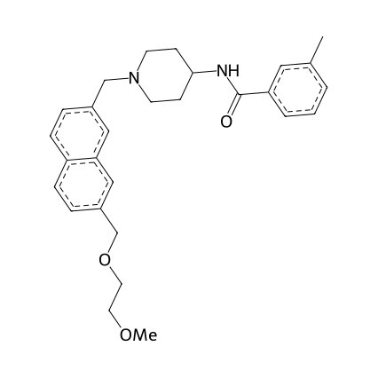 COCCOCc1ccc2ccc(CN3CCC(NC(=O)c4cccc(C)c4)CC3)cc2c1